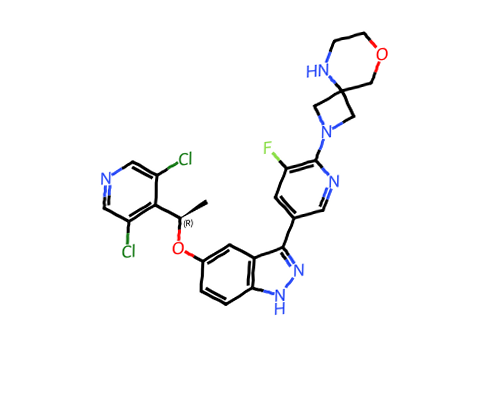 C[C@@H](Oc1ccc2[nH]nc(-c3cnc(N4CC5(COCCN5)C4)c(F)c3)c2c1)c1c(Cl)cncc1Cl